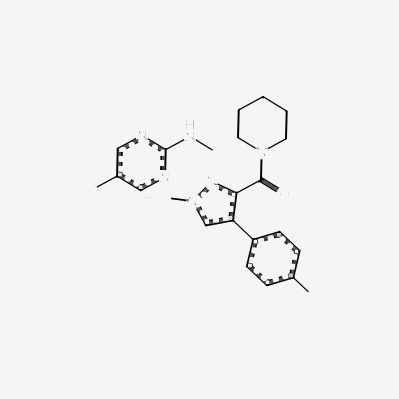 Cn1cc(-c2ccc(F)cc2)c(C(=O)N2CCCC[C@H]2CNc2ncc(Br)cn2)n1